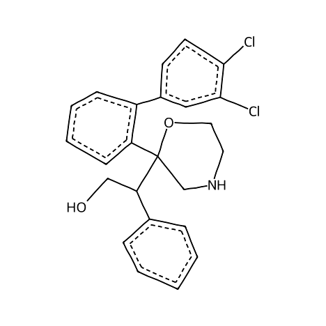 OCC(c1ccccc1)C1(c2ccccc2-c2ccc(Cl)c(Cl)c2)CNCCO1